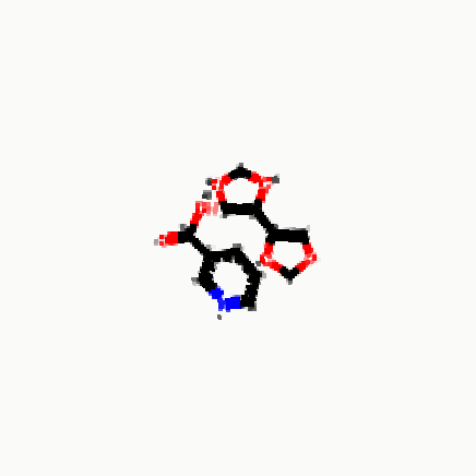 C1=C(C2=COCO2)OCO1.O=C(O)c1cccnc1